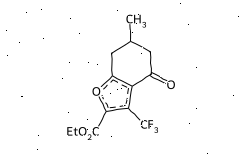 CCOC(=O)c1oc2c(c1C(F)(F)F)C(=O)CC(C)C2